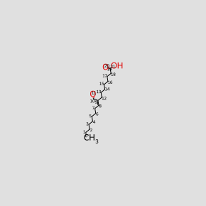 CCCCCCCCC=C(C=O)CCCCCCCC(=O)O